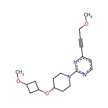 COCC#Cc1ccnc(N2CCC(OC3CC(OC)C3)CC2)n1